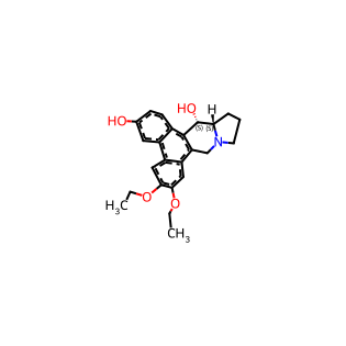 CCOc1cc2c3c(c4ccc(O)cc4c2cc1OCC)[C@H](O)[C@@H]1CCCN1C3